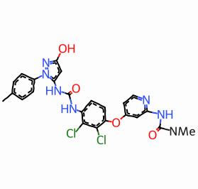 CNC(=O)Nc1cc(Oc2ccc(NC(=O)Nc3cc(O)nn3-c3ccc(C)cc3)c(Cl)c2Cl)ccn1